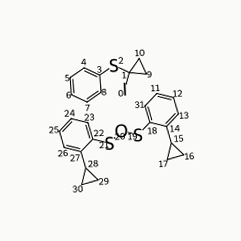 IC1(Sc2ccccc2)CC1.c1ccc(C2CC2)c(SOSc2ccccc2C2CC2)c1